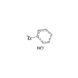 Cl.[Zr][c]1ccccc1